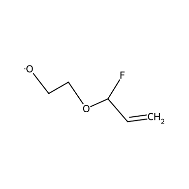 C=CC(F)OCC[O]